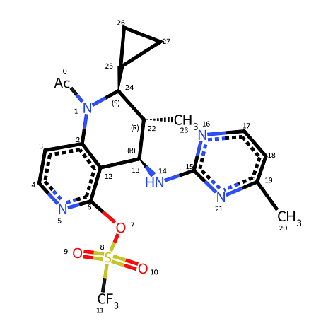 CC(=O)N1c2ccnc(OS(=O)(=O)C(F)(F)F)c2[C@H](Nc2nccc(C)n2)[C@@H](C)[C@@H]1C1CC1